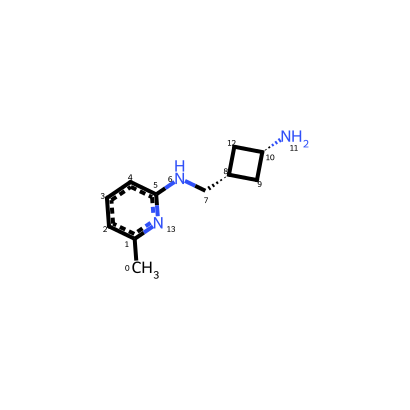 Cc1cccc(NC[C@H]2C[C@@H](N)C2)n1